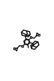 Cc1c(OCC2CO2)cc(C23CC4CC(CC(C4)C2)C3)c(OCC2CO2)c1C12CC3CC(CC(C3)C1)C2